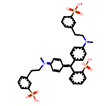 CN(CCc1cccc(S(=O)(=O)O)c1)c1ccc(C(=C2C=CC(=[N+](C)CCc3cccc(S(=O)(=O)O)c3)C=C2)c2ccccc2S(=O)(=O)O)cc1